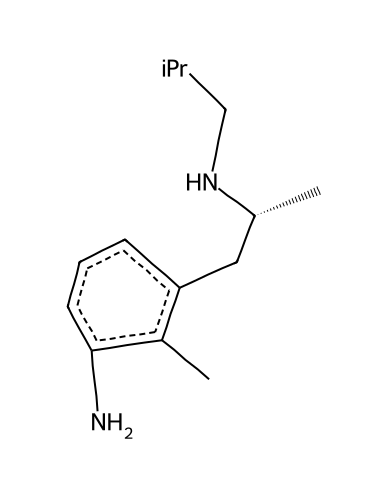 Cc1c(N)cccc1C[C@@H](C)NCC(C)C